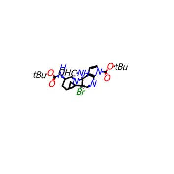 CC(C)(C)OC(=O)NC1CCCN(C2(NC=O)c3ccn(C(=O)OC(C)(C)C)c3N=C[C@]2(Br)C2CC2)C1